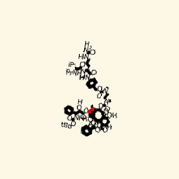 CC(=O)O[C@@]12CO[C@@H]1C[C@H](O)[C@@]1(C)C(=O)[C@H](OC(=O)N(C)CCN(C)C(=O)OCc3ccc(NC(=O)[C@H](CCCNC(N)=O)NC(=O)[C@@H](NC(C)C)C(C)C)cc3)C3=C(C)[C@@H](OC(=O)[C@H](O)[C@@H](NC(=O)OC(C)(C)C)c4ccccc4)C[C@](O)(C3(C)C)[C@@](C)(OC(=O)c3ccccc3)C12